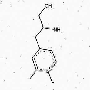 NC(CO)Cc1ccc(F)c(F)c1